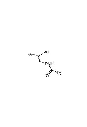 CCC[C@H](S)CNC(=O)CC